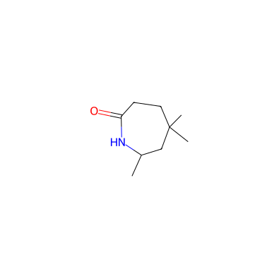 CC1CC(C)(C)CCC(=O)N1